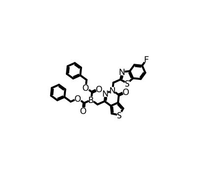 O=C(OCc1ccccc1)B(Cc1nn(Cc2nc3cc(F)ccc3s2)c(=O)c2cscc12)C(=O)OCc1ccccc1